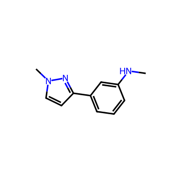 CNc1cccc(-c2ccn(C)n2)c1